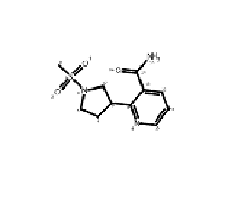 CS(=O)(=O)N1CCC(c2ncccc2C(N)=O)C1